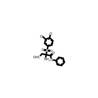 NC(CC=O)(C(=O)Oc1ccccc1)S(=O)(=O)c1ccc(Cl)c(Cl)c1